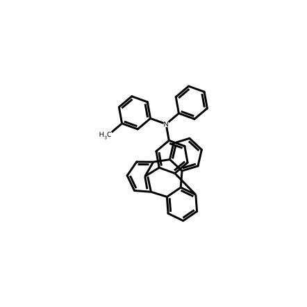 Cc1cccc(N(c2ccccc2)c2ccc3c(c2)-c2c4cccc2-c2cccc-3c2-c2ccccc2-4)c1